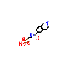 CN1CCc2cc(C(=O)NCCS(=O)(=O)O)ccc2C1